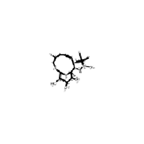 C[C@@H]1/C=C\CC(F)CSC2O[C@@H](C(O)C(O)[C@H]2O)[C@@H]1N[S@+]([O-])C(C)(C)C